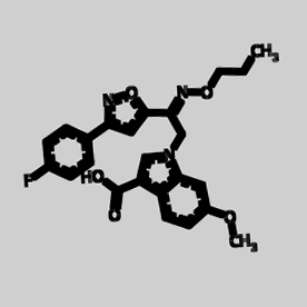 CCCO/N=C(\Cn1cc(C(=O)O)c2ccc(OC)cc21)c1cc(-c2ccc(F)cc2)no1